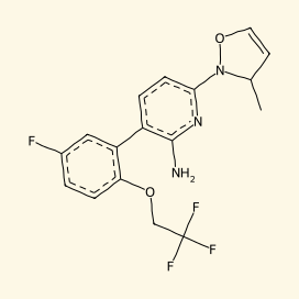 CC1C=CON1c1ccc(-c2cc(F)ccc2OCC(F)(F)F)c(N)n1